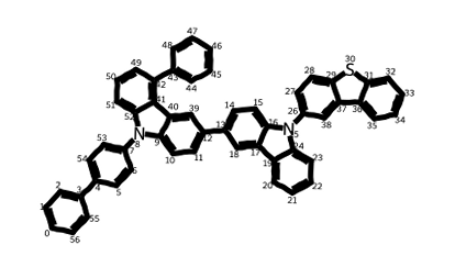 c1ccc(-c2ccc(-n3c4ccc(-c5ccc6c(c5)c5ccccc5n6-c5ccc6sc7ccccc7c6c5)cc4c4c(-c5ccccc5)cccc43)cc2)cc1